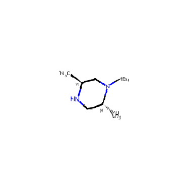 C[C@@H]1CN[C@@H](C)CN1C(C)(C)C